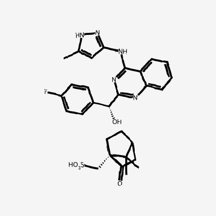 CC1(C)C2CC[C@]1(CS(=O)(=O)O)C(=O)C2.Cc1cc(Nc2nc([C@H](O)c3ccc(F)cc3)nc3ccccc23)n[nH]1